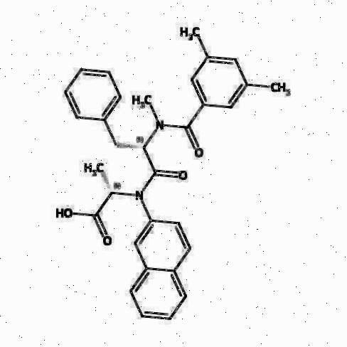 Cc1cc(C)cc(C(=O)N(C)[C@@H](Cc2ccccc2)C(=O)N(c2ccc3ccccc3c2)[C@@H](C)C(=O)O)c1